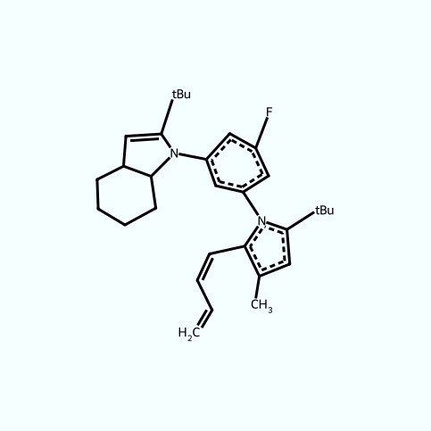 C=C/C=C\c1c(C)cc(C(C)(C)C)n1-c1cc(F)cc(N2C(C(C)(C)C)=CC3CCCCC32)c1